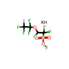 O=S(=O)(OF)C(F)(F)C(F)OC(F)(F)C(F)(F)I.[KH]